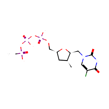 COP(=O)(O)OP(=O)(O)OP(=O)(O)OC[C@@H]1C[C@H](C)[C@H](Cn2cc(F)c(=O)[nH]c2=O)O1